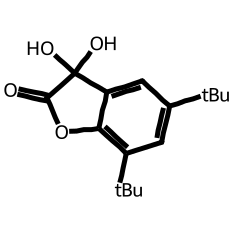 CC(C)(C)c1cc(C(C)(C)C)c2c(c1)C(O)(O)C(=O)O2